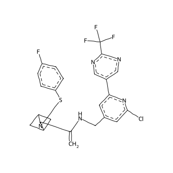 C=C(NCc1cc(Cl)nc(-c2cnc(C(F)(F)F)nc2)c1)C1C2CC(C2)N1Sc1ccc(F)cc1